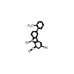 CCn1c2c(c3cc(-c4ccccc4C)ccc31)C=C(C(C)=O)CC2=C=O